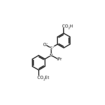 CCOC(=O)c1cccc(N(C(C)C)[S+]([O-])c2cccc(C(=O)O)c2)c1